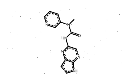 CN(C(=O)Nc1cnc2[nH]ccc2n1)c1cccnc1